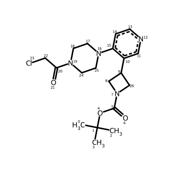 CC(C)(C)OC(=O)N1CC(c2cnccc2N2CCN(C(=O)CCl)CC2)C1